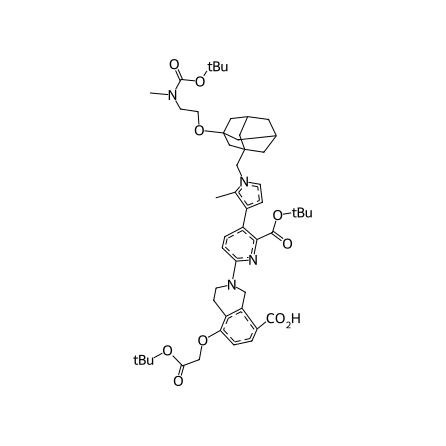 Cc1c(-c2ccc(N3CCc4c(OCC(=O)OC(C)(C)C)ccc(C(=O)O)c4C3)nc2C(=O)OC(C)(C)C)ccn1CC12CC3CC(C1)CC(OCCN(C)C(=O)OC(C)(C)C)(C3)C2